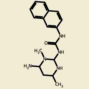 CC1CC(N)N(C)C(NC(=O)Nc2ccc3ccccc3c2)N1